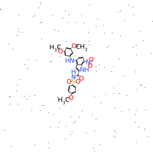 COc1ccc(S(=O)(=O)NC(=O)c2cc3c(Nc4cc(OC)cc(OC)c4)ccc([N+](=O)[O-])c3[nH]2)cc1